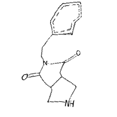 O=C1C2CNCC2C(=O)N1Cc1ccccc1